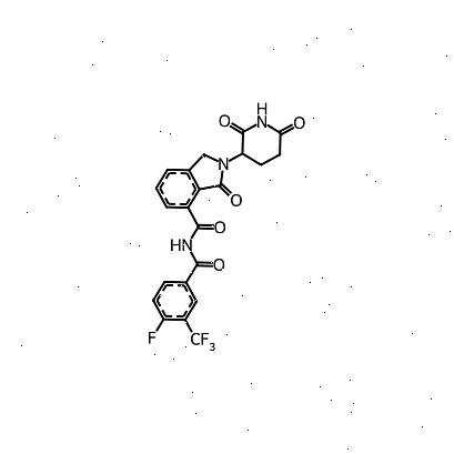 O=C1CCC(N2Cc3cccc(C(=O)NC(=O)c4ccc(F)c(C(F)(F)F)c4)c3C2=O)C(=O)N1